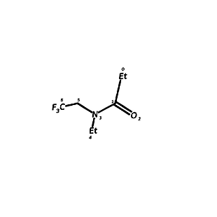 CCC(=O)N(CC)CC(F)(F)F